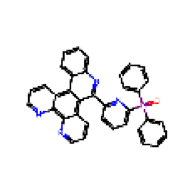 O=P(c1ccccc1)(c1ccccc1)c1cccc(-c2nc3ccccc3c3c4cccnc4c4ncccc4c23)n1